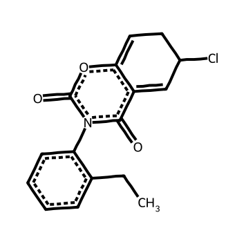 CCc1ccccc1-n1c(=O)oc2c(c1=O)=CC(Cl)CC=2